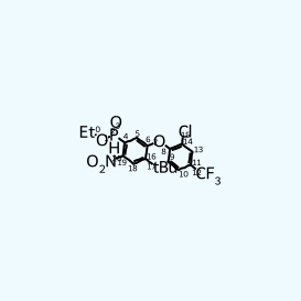 CCO[PH](=O)c1cc(Oc2ccc(C(F)(F)F)cc2Cl)c(C(C)(C)C)cc1[N+](=O)[O-]